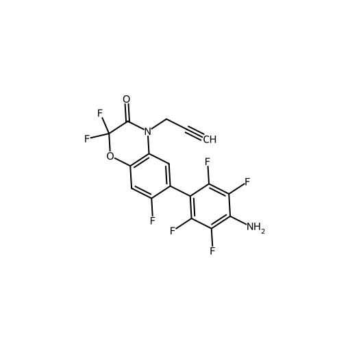 C#CCN1C(=O)C(F)(F)Oc2cc(F)c(-c3c(F)c(F)c(N)c(F)c3F)cc21